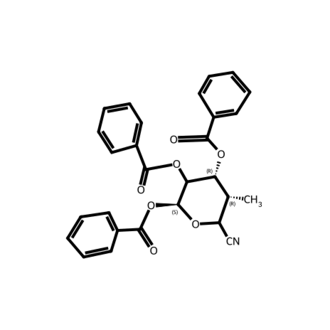 C[C@@H]1C(C#N)O[C@@H](OC(=O)c2ccccc2)C(OC(=O)c2ccccc2)[C@@H]1OC(=O)c1ccccc1